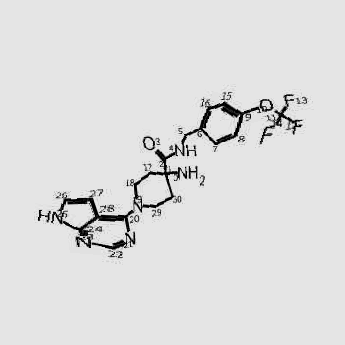 NC1(C(=O)NCc2ccc(OC(F)(F)F)cc2)CCN(c2ncnc3[nH]ccc23)CC1